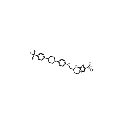 O=[N+]([O-])c1cn2c(n1)OC(COc1ccc(N3CCC(c4ccc(C(F)(F)F)cc4)CC3)cc1)CC2